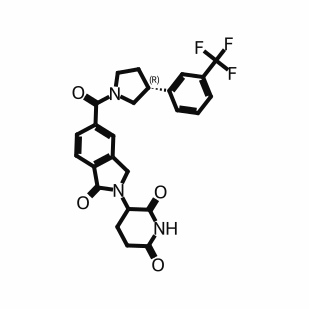 O=C1CCC(N2Cc3cc(C(=O)N4CC[C@H](c5cccc(C(F)(F)F)c5)C4)ccc3C2=O)C(=O)N1